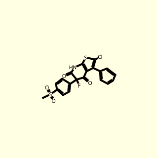 CS(=O)(=O)c1ccc(C2(F)C(=O)Nc3sc(Cl)c(-c4ccccc4)c3C2=O)cc1